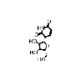 O=C1C=CC([C@@H]2O[C@H](CO)[C@@H](O)[C@H]2O)C(=O)N1